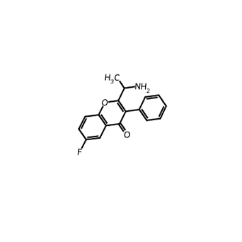 CC(N)c1oc2ccc(F)cc2c(=O)c1-c1ccccc1